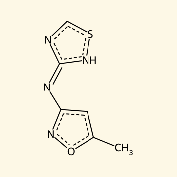 Cc1cc(N=c2ncs[nH]2)no1